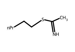 CCCCCSC(C)=N